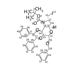 CC(C)(C)OC(=O)N1C2[C@@H](C[C@H]1CI)OC(COCc1ccccc1)[C@@H](OCc1ccccc1)[C@H]2OCc1ccccc1